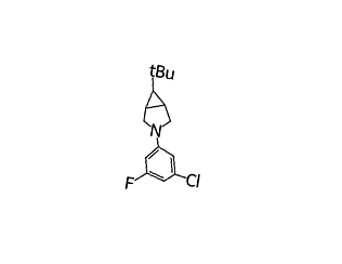 CC(C)(C)C1C2CN(c3cc(F)cc(Cl)c3)CC21